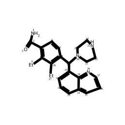 CCc1c(C(N)=O)ccc(C(c2cccc3cccnc23)N2CCNCC2)c1CC